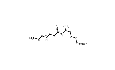 CCCCCCCCCCCCCCC(C)OC(=O)CCNCCC(=O)O